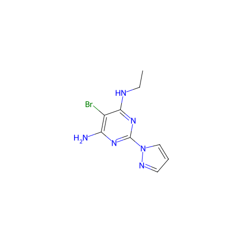 CCNc1nc(-n2cccn2)nc(N)c1Br